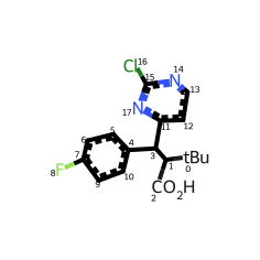 CC(C)(C)C(C(=O)O)C(c1ccc(F)cc1)c1ccnc(Cl)n1